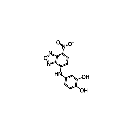 O=[N+]([O-])c1ccc(Nc2ccc(O)c(O)c2)c2nonc12